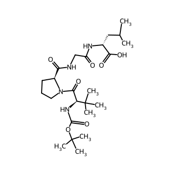 CC(C)C[C@@H](NC(=O)CNC(=O)[C@@H]1CCCN1C(=O)[C@H](NC(=O)OC(C)(C)C)C(C)(C)C)C(=O)O